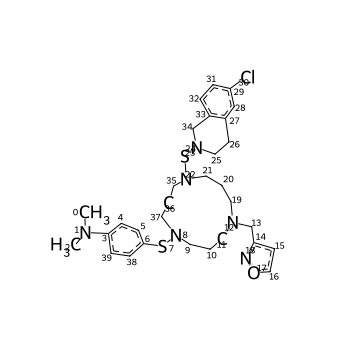 CN(C)c1ccc(SN2CCCN(Cc3ccon3)CCCN(SN3CCc4cc(Cl)ccc4C3)CCC2)cc1